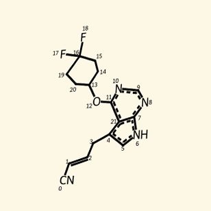 N#C/C=C/Cc1c[nH]c2ncnc(OC3CCC(F)(F)CC3)c12